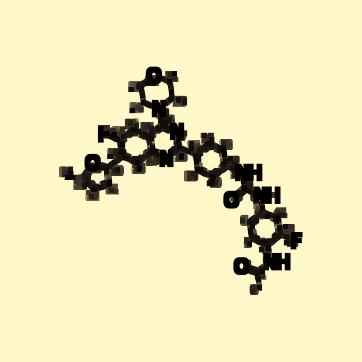 CC(=O)Nc1ccc(NC(=O)Nc2ccc(-c3nc(N4CCOCC4)c4cc(F)c(-c5ccc(C)o5)cc4n3)cc2)cc1F